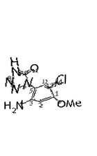 COc1cc(N)c(-n2nn[nH]c2=O)cc1Cl